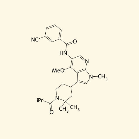 COc1c(NC(=O)c2cccc(C#N)c2)cnc2c1c(C1CCN(C(=O)C(C)C)C(C)(C)C1)cn2C